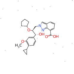 COc1cc([C@@H](O)[C@H](Cn2cc3cccc(C(=O)O)c3n2)OC2CCCC2)ccc1C1CC1